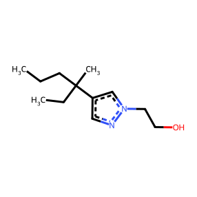 CCCC(C)(CC)c1cnn(CCO)c1